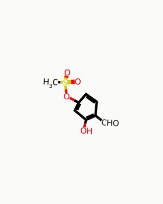 CS(=O)(=O)Oc1ccc(C=O)c(O)c1